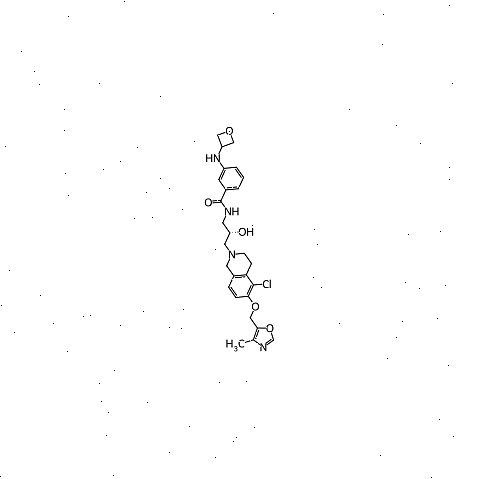 Cc1ncoc1COc1ccc2c(c1Cl)CCN(C[C@@H](O)CNC(=O)c1cccc(NC3COC3)c1)C2